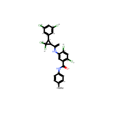 C=C(Nc1cc(C(=O)Nc2ccc(NC)cc2)c(Cl)cc1Cl)C1C(c2cc(Cl)cc(Cl)c2)C1(Cl)Cl